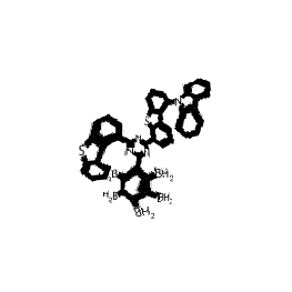 Bc1c(B)c(B)c(-c2nc(-c3cccc4c3sc3cccc(-n5c6ccccc6c6ccccc65)c34)nc(-c3cccc4sc5ccccc5c34)n2)c(B)c1B